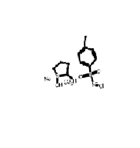 Cc1ccc(S(=O)(=O)[N-]Cl)cc1.O=C(O)C1CCCN1O.[Na+]